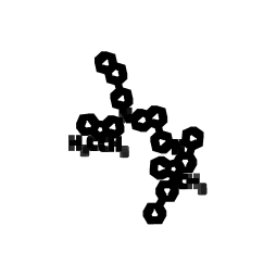 CC1(C)c2ccccc2-c2cc(N(c3ccc(-c4ccc5ccccc5c4)cc3)c3ccc4c(-c5cccc(-n6c7ccccc7c7ccc8c(c76)-c6ccccc6C8(C)c6ccc(-c7ccccc7)cc6)c5)cccc4c3)ccc21